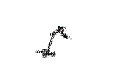 CN[C@@H](C)C(=O)N[C@H](C(=O)N1C[C@@H](NC(=O)CCOCCOCCOCCOCCC(=O)N2CCC(c3ccc(Nc4nc(N5CCC[C@@H](N6CCN(C)C6=O)C5)cnc4C(N)=O)cc3)CC2)C[C@H]1C(=O)N[C@@H]1CCCc2ccccc21)C1CCCCC1